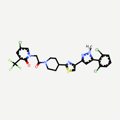 Cn1nc(-c2csc(C3CCN(C(=O)Cn4cc(Cl)cc(C(F)(F)F)c4=O)CC3)n2)cc1-c1c(Cl)cccc1Cl